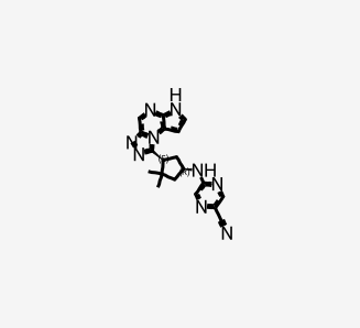 CC1(C)C[C@H](Nc2cnc(C#N)cn2)C[C@@H]1c1nnc2cnc3[nH]ccc3n12